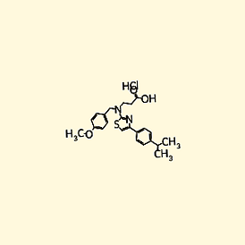 COc1ccc(CN(CCC(=O)O)c2nc(-c3ccc(C(C)C)cc3)cs2)cc1.Cl